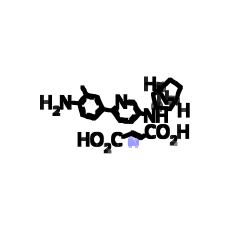 Cc1cc(-c2ccc(N[C@H]3C[C@H]4CC[C@@H](C3)N4C)cn2)ccc1N.O=C(O)/C=C/C(=O)O